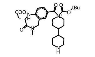 CN1Cc2cc(C(=O)[N+]3(C(=O)OC(C)(C)C)CCC(C4CCNCC4)CC3)ccc2N[C@@H](CC(=O)[O-])C1=O